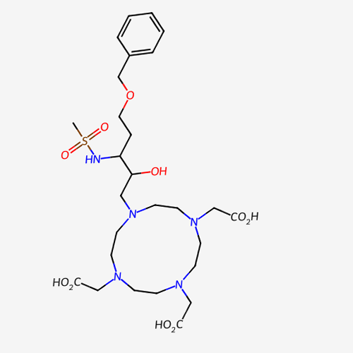 CS(=O)(=O)NC(CCOCc1ccccc1)C(O)CN1CCN(CC(=O)O)CCN(CC(=O)O)CCN(CC(=O)O)CC1